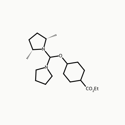 CCOC(=O)C1CCC(OC(N2CCCC2)N2[C@H](C)CC[C@@H]2C)CC1